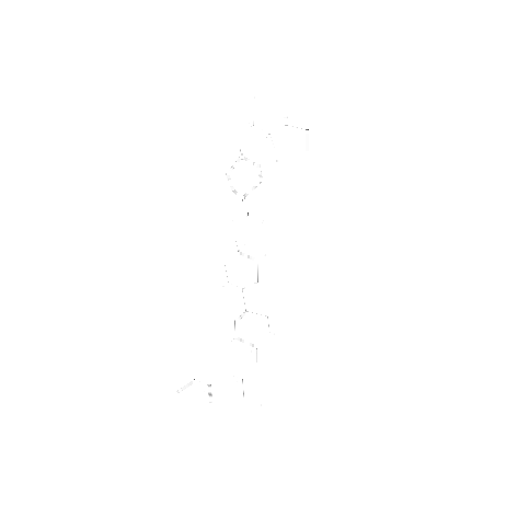 C=CC(=O)OC(CCCCCCC)OC1=CC=C(C2=CC=C(OC(=O)c3ccc(OC(CCCC)C(O)CC(=C)C=O)cc3)CC2)CC1